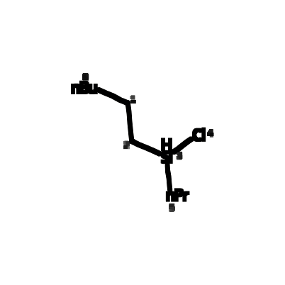 CCCCCC[SiH](Cl)CCC